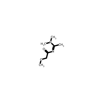 COCC(=O)N=C(C)N(C)C